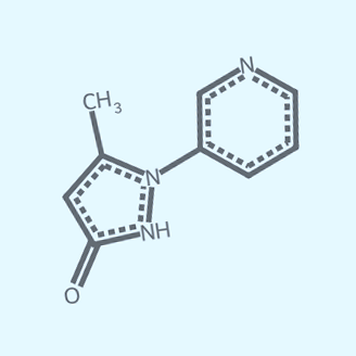 Cc1cc(=O)[nH]n1-c1cccnc1